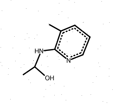 Cc1cccnc1NC(C)O